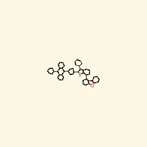 C1=CCC(c2c(-c3ccc(-c4c5ccccc5c(-c5ccccc5)c5ccccc45)cc3)sc3c(-c4cccc5oc6ccccc6c45)cccc23)C=C1